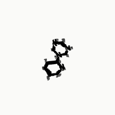 C1=NC=NCN1c1ccccn1